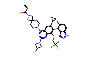 C=CC(=O)N1CC2(CCN(c3nc(N4CC(O)C4)nc4c(OCC(F)(F)F)c(-c5c(C)ccc6[nH]ncc56)c(C5CC5)cc34)CC2)C1